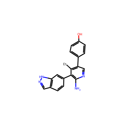 CCc1c(-c2ccc(O)cc2)cnc(N)c1-c1ccc2cn[nH]c2c1